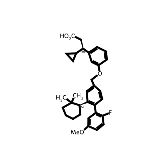 COc1ccc(F)c(-c2ccc(COc3cccc([C@H](CC(=O)O)C4CC4)c3)cc2[C@H]2CCCCC2(C)C)c1